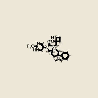 CN(C)[C@]1(c2ccccc2)CC[C@]2(CC1)CN(C1=CN=C(C(F)(F)F)NC1)C(=O)N2CC1(O)CCC1